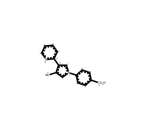 N#Cc1cn(-c2ccc(C(=O)O)cc2)cc1-c1ccccn1